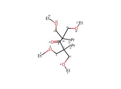 CCCC(COCC)(COCC)C(=O)C(CCC)(COCC)COCC